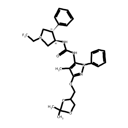 Cc1c(OCC2COC(C)(C)O2)nn(-c2ccccc2)c1NC(=O)N[C@H]1CN(CC(F)(F)F)C[C@@H]1c1ccccc1